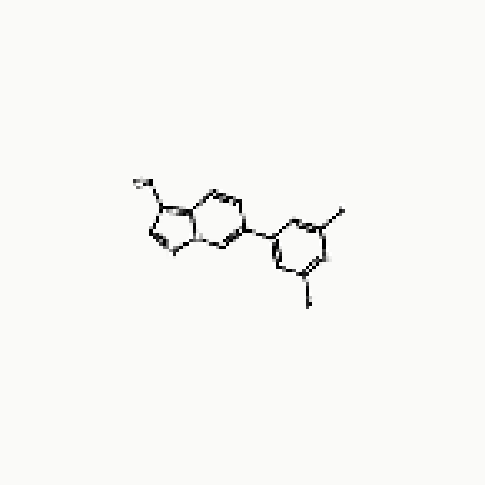 CC(C)(C)c1cnn2cc(-c3cc(F)nc(F)c3)ccc12